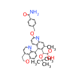 Cc1cc2nc(OCc3ccc(C(N)=O)cc3)ccc2c(-c2ccc3c4c(ccnc24)CCO3)c1[C@H](OC(C)(C)C)C(=O)O